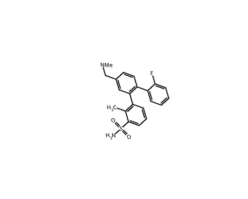 CNCc1ccc(-c2ccccc2F)c(-c2cccc(S(N)(=O)=O)c2C)c1